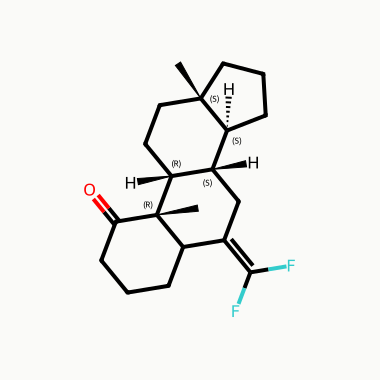 C[C@@]12CCC[C@H]1[C@@H]1CC(=C(F)F)C3CCCC(=O)[C@]3(C)[C@@H]1CC2